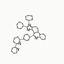 c1ccc(-c2nc3c4c(-c5ccc(-c6cccc(-c7ccccn7)n6)cc5)nc5ccccc5c4ccc3n2-c2ccccc2)cc1